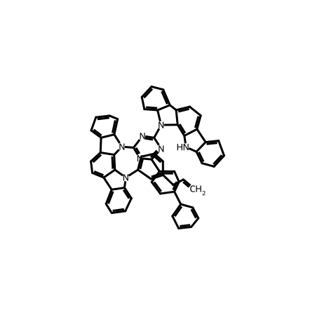 C=CCc1cccc(-n2c3ccccc3c3ccc4c5ccccc5n(-c5nc(-c6ccc(-c7ccccc7)cc6)nc(-n6c7ccccc7c7ccc8c9ccccc9[nH]c8c76)n5)c4c32)c1